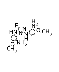 CCOc1ccc(Nc2ncc(F)c(Nc3ccc(OCC)c(N)c3)n2)cc1N